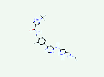 CCNCc1cc(Nc2cc(-c3ccc(CNC(=O)c4cnn(C(C)(C)C)c4)c(C)c3)ncn2)n[nH]1